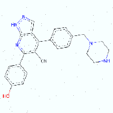 N#Cc1c(-c2ccc(O)cc2)nc2[nH]ncc2c1-c1ccc(CN2CCNCC2)cc1